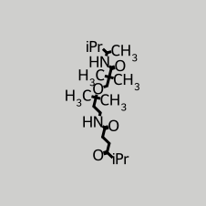 CC(C)C(=O)CCC(=O)NCCC(C)(C)OCC(C)(C)C(=O)NC(C)C(C)C